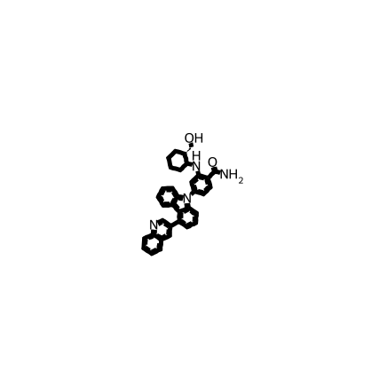 NC(=O)c1ccc(-n2c3ccccc3c3c(-c4cnc5ccccc5c4)cccc32)cc1NC1CCCC[C@@H]1CO